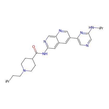 CC(C)CCN1CCC(C(=O)Nc2cc3cc(-c4cncc(NC(C)C)n4)cnc3cn2)CC1